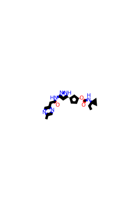 CCC1(NC(=O)O[C@@H]2CC[C@H](c3cc(NC(=O)Cc4cnc(C)cn4)n[nH]3)C2)CC1